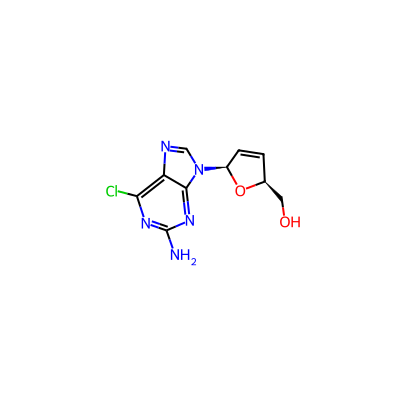 Nc1nc(Cl)c2ncn([C@H]3C=C[C@@H](CO)O3)c2n1